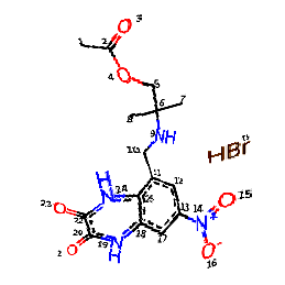 Br.CC(=O)OCC(C)(C)NCc1cc([N+](=O)[O-])cc2[nH]c(=O)c(=O)[nH]c12